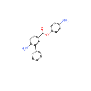 Nc1ccc(OC(=O)c2ccc(N)c(-c3ccccc3)c2)cc1